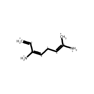 C=C/C(N)=C\C/C=C(\C)N